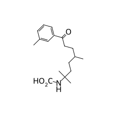 Cc1cccc(C(=O)CCC(C)CCC(C)(C)NC(=O)O)c1